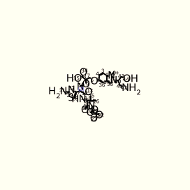 C[n+]1c2ccc(OCC(O/N=C(\C(=O)N[C@@H]3C(=O)N(OS(=O)(=O)[O-])C3(C)C)c3csc(N)n3)C(=O)O)cc2cn1C(CN)CO